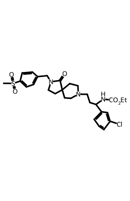 CCOC(=O)NC(CCN1CCC2(CC1)CCN(Cc1ccc(S(C)(=O)=O)cc1)C2=O)c1cccc(Cl)c1